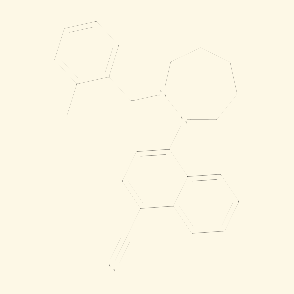 Cc1ccccc1CN1CCCCCN1c1ccc(C#N)c2ccccc12